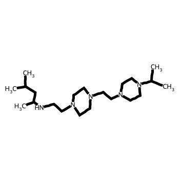 CC(C)CC(C)NCCN1CCN(CCN2CCN(C(C)C)CC2)CC1